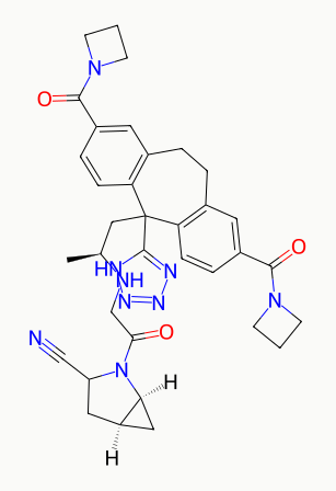 C[C@@H](CC1(c2nnn[nH]2)c2ccc(C(=O)N3CCC3)cc2CCc2cc(C(=O)N3CCC3)ccc21)NCC(=O)N1C(C#N)C[C@@H]2C[C@@H]21